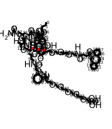 CCCC1O[C@@H]2C[C@H]3[C@@H]4C[C@H](F)C5=CC(=O)C=C[C@]5(C)[C@@]4(F)[C@@H](O)C[C@]3(C)[C@]2(C(=O)CNC(=O)[C@H](CCCNC(N)=O)NC(=O)[C@@H](NC(=O)[C@@H](CCCCNC(=O)COC2CCCCCc3c2nnn3CCOCCOCCOCCOCCOCCP(=O)(O)O)NC(=O)CCOCCOCCOCCOCCNC(=O)CCC(=O)N2Cc3ccccc3C#Cc3ccccc32)C(C)C)O1